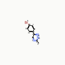 Cc1ncc(-c2ccc(Br)cc2)nn1